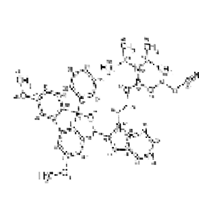 COc1ccc(C(OCc2nc3cncnc3n2CCOP(OCCC#N)N(C(C)C)C(C)C)(c2ccccc2)c2ccc(OC)cc2)cc1